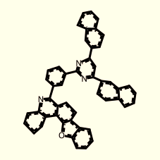 c1cc(-c2nc(-c3ccc4ccccc4c3)cc(-c3ccc4ccccc4c3)n2)cc(-c2nc3ccccc3c3c2ccc2c4ccccc4oc23)c1